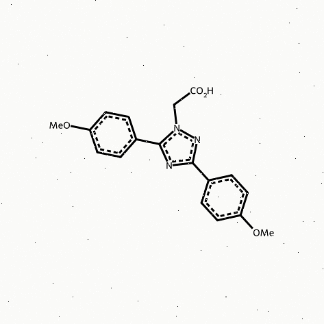 COc1ccc(-c2nc(-c3ccc(OC)cc3)n(CC(=O)O)n2)cc1